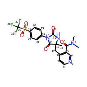 CN(C)C(=O)c1cnccc1CC1(C)NC(=O)N(c2ccc(S(=O)(=O)C(F)(F)F)cc2)C1=O